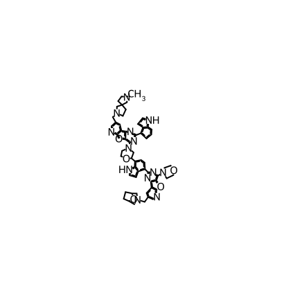 CN1CCC2(CCN(Cc3cnc4oc5c(N6CCOC(c7ccc(-c8nc(N9CCOCC9)c9oc%10ncc(CN%11CC%12CCC(C%11)O%12)cc%10c9n8)c8cc[nH]c78)C6)nc(-c6cccc7[nH]ccc67)nc5c4c3)C2)C1